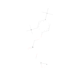 CCC(C)(C)c1ccc(OCC(=O)OCC2CO2)c(C(C)(C)CC)c1